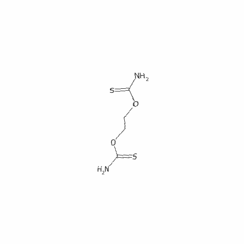 NC(=S)OCCOC(N)=S